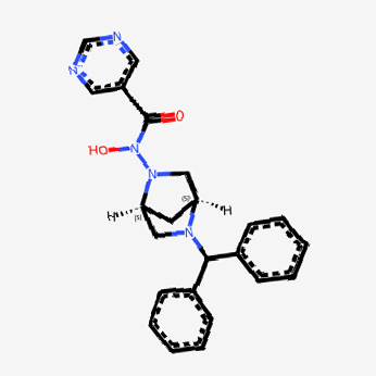 O=C(c1cncnc1)N(O)N1C[C@@H]2C[C@H]1CN2C(c1ccccc1)c1ccccc1